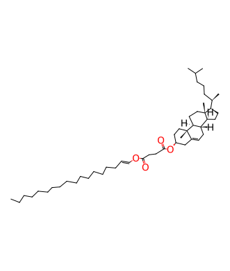 CCCCCCCCCCCCCCCC/C=C/OC(=O)CCC(=O)O[C@H]1CC[C@@]2(C)C(=CC[C@H]3[C@@H]4CC[C@H]([C@H](C)CCCC(C)C)[C@@]4(C)CC[C@@H]32)C1